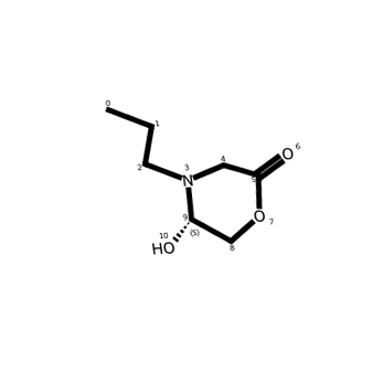 CCCN1CC(=O)OC[C@@H]1O